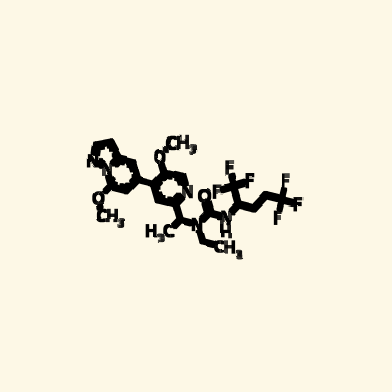 CCN(C(=O)NC(CCC(F)(F)F)C(F)(F)F)C(C)c1cc(-c2cc(OC)n3nccc3c2)c(OC)cn1